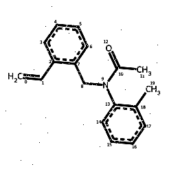 C=Cc1ccccc1CN(C(C)=O)c1ccccc1C